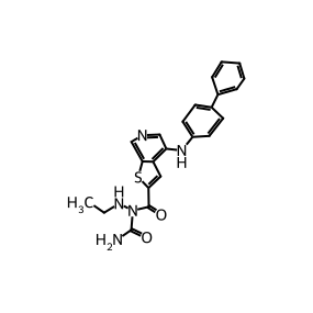 CCNN(C(N)=O)C(=O)c1cc2c(Nc3ccc(-c4ccccc4)cc3)cncc2s1